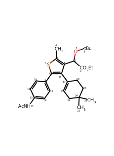 CCOC(=O)C(OC(C)(C)C)c1c(C)sc(-c2ccc(NC(C)=O)cc2)c1C1=CCC(C)(C)CC1